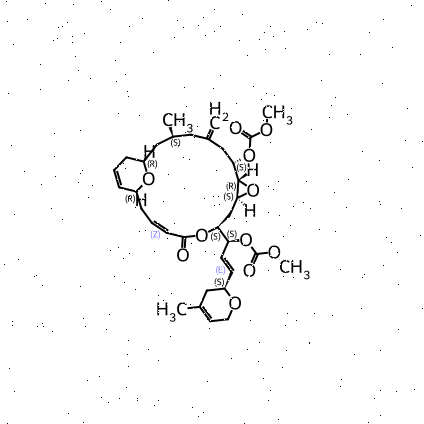 C=C1C[C@H](C)C[C@@H]2CC=C[C@@H](C/C=C\C(=O)O[C@H]([C@H](/C=C/[C@@H]3CC(C)=CCO3)OC(=O)OC)C[C@@H]3O[C@H]3[C@@H](OC(=O)OC)C1)O2